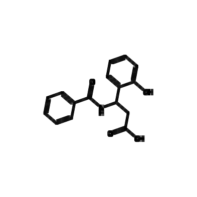 O=C(O)CC(NC(=O)c1ccccc1)c1ccccc1O